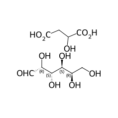 O=C(O)CC(O)C(=O)O.O=C[C@H](O)[C@@H](O)[C@@H](O)[C@H](O)CO